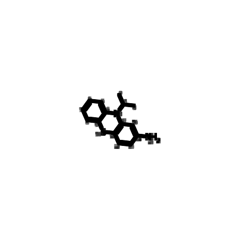 CC(C)N1c2ccccc2Sc2ccc(N)cc21